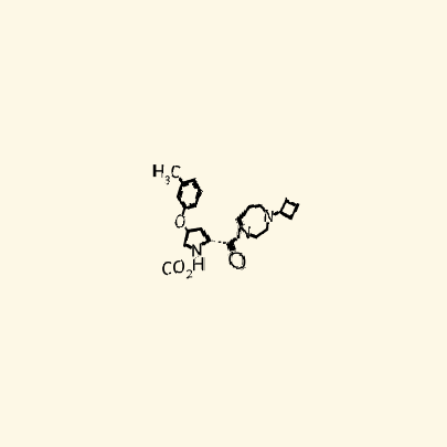 Cc1cccc(O[C@H]2C[C@H](C(=O)N3CCCN(C4CCC4)CC3)N(C(=O)O)C2)c1